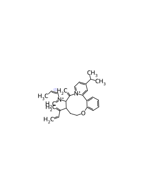 C=CC(=C)C1CCOc2ccccc2-c2cc(C(C)C)cc[n+]2C(=C)C1[N+](=C)/C=C\C